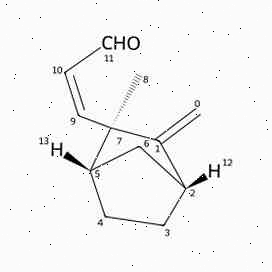 C=C1[C@@H]2CC[C@@H](C2)[C@@]1(C)/C=C\C=O